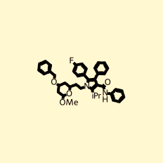 COC1CC(OCc2ccccc2)CC(CCn2c(-c3ccc(F)cc3)c(-c3ccccc3)c(C(=O)Nc3ccccc3)c2C(C)C)O1